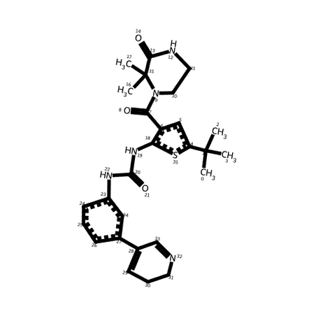 CC(C)(C)c1cc(C(=O)N2CCNC(=O)C2(C)C)c(NC(=O)Nc2cccc(C3=CCCN=C3)c2)s1